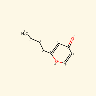 CCCCc1cc(=O)cco1